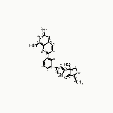 [2H]c1nc(N)c2nc(-c3cccc(-n4cc([C@]5(O)CCN(C)C5=O)nn4)c3)ccc2n1